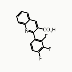 O=C(O)c1cc2ccccc2nc1-c1ccc(F)c(F)c1F